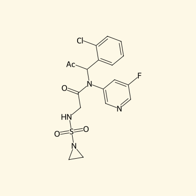 CC(=O)C(c1ccccc1Cl)N(C(=O)CNS(=O)(=O)N1CC1)c1cncc(F)c1